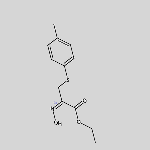 CCOC(=O)/C(CSc1ccc(C)cc1)=N\O